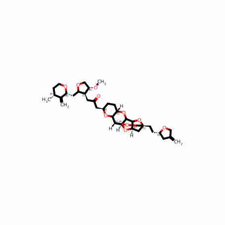 C=C1CO[C@@H](CC[C@@]23C[C@H]4O[C@@H]5C(O[C@H]6CC[C@H](CC(=O)C[C@H]7C(C[C@H]8OCC[C@@H](C)C8=C)OC[C@@H]7OC)OC6[C@@H]5O2)C4O3)C1